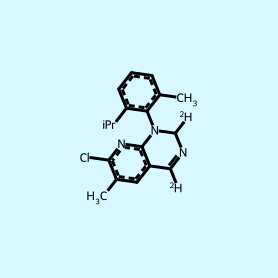 [2H]C1=NC([2H])N(c2c(C)cccc2C(C)C)c2nc(Cl)c(C)cc21